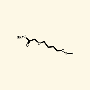 CC(C)(C)OC(=O)COCCCCOSI